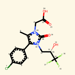 Cc1c(-c2ccc(Cl)cc2)n(C[C@H](O)C(F)(F)F)c(=O)n1CC(=O)O